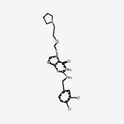 O=c1[nH]c(NCc2ccc(Cl)c(Cl)c2)nc2ncn(CCOCCN3CCCC3)c12